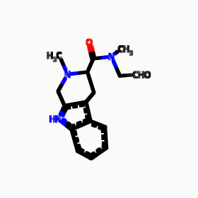 CN(CC=O)C(=O)C1Cc2c([nH]c3ccccc23)CN1C